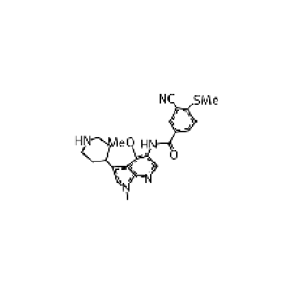 COc1c(NC(=O)c2ccc(SC)c(C#N)c2)cnc2c1c(C1CCNCC1)cn2C